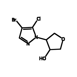 OC1COCC1n1ncc(Br)c1Cl